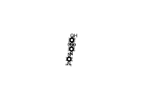 CN(C)c1ccc(N=Nc2ccc(S(=O)(=O)c3ccc(O)cc3)cc2)cc1